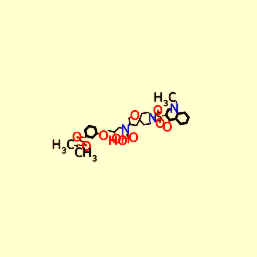 CCn1cc(S(=O)(=O)N2CCC3(CC2)C[C@@H](N(C[C@H](O)COc2cccc(S(=O)(=O)C(C)C)c2)C(=O)O)CO3)c(=O)c2ccccc21